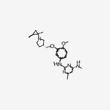 CNc1cc(C)nc(Nc2ccc(OC)c(OC[C@@H]3CCN(C4(C)CC4C)C3)c2)n1